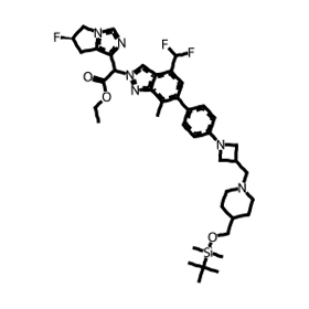 CCOC(=O)C(c1ncn2c1C[C@@H](F)C2)n1cc2c(C(F)F)cc(-c3ccc(N4CC(CN5CCC(CO[Si](C)(C)C(C)(C)C)CC5)C4)cc3)c(C)c2n1